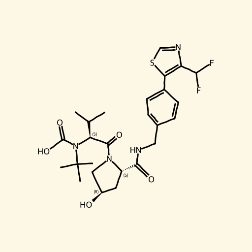 CC(C)[C@@H](C(=O)N1C[C@H](O)C[C@H]1C(=O)NCc1ccc(-c2scnc2C(F)F)cc1)N(C(=O)O)C(C)(C)C